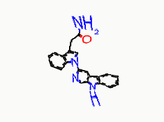 NC(=O)Cc1cn(-c2cc3c(cn2)[nH]c2ccccc23)c2ccccc12